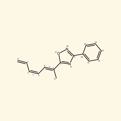 C=C/C=C\C=C(/C)c1nc(-c2ccccc2)no1